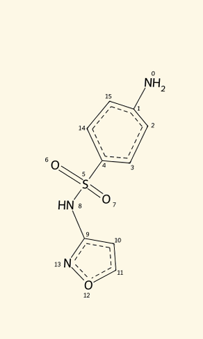 Nc1ccc(S(=O)(=O)Nc2ccon2)cc1